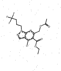 CCOC(=O)c1c(COC(C)=O)nc2c(cnn2CCCC(F)(F)F)c1Cl